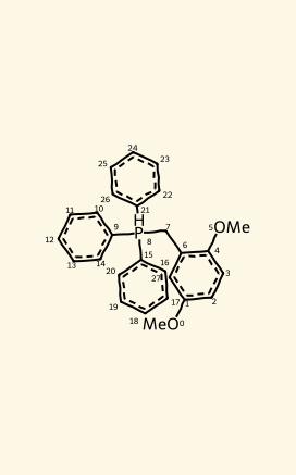 COc1ccc(OC)c(C[PH](c2ccccc2)(c2ccccc2)c2ccccc2)c1